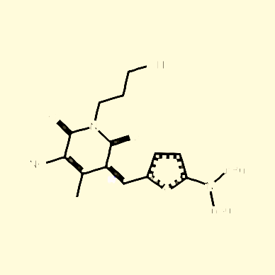 CCCCN(CCCC)c1ccc(/C=C2\C(=O)N(CCCO)C(=O)C(C#N)=C2C)s1